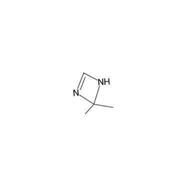 CC1(C)N=CN1